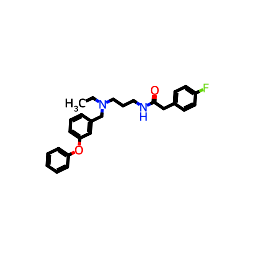 CCN(CCCNC(=O)Cc1ccc(F)cc1)Cc1cccc(Oc2ccccc2)c1